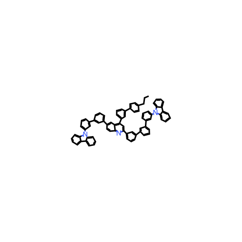 CCCc1ccc(-c2cccc(-c3cc(-c4cccc(-c5cccc(-c6cccc(-n7c8ccccc8c8ccccc87)c6)c5)c4)nc4ccc(-c5cccc(-c6cccc(-n7c8ccccc8c8ccccc87)c6)c5)cc34)c2)cc1